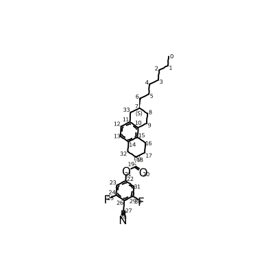 CCCCCCC[C@H]1CCc2c(ccc3c2CC[C@H](C(=O)Oc2cc(F)c(C#N)c(F)c2)C3)C1